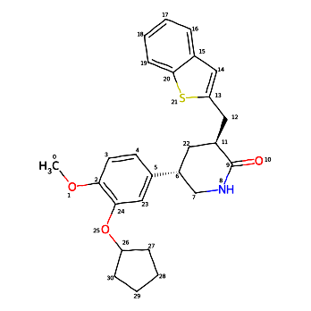 COc1ccc([C@H]2CNC(=O)[C@H](Cc3cc4ccccc4s3)C2)cc1OC1CCCC1